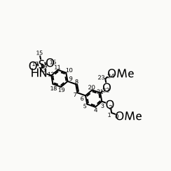 COCOc1ccc(/C=C/c2ccc(NS(C)(=O)=O)cc2)cc1OCOC